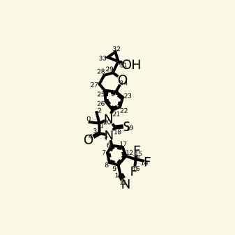 CC1(C)C(=O)N(c2ccc(C#N)c(C(F)(F)F)c2)C(=S)N1c1ccc2c(c1)CCC(C1(O)CC1)O2